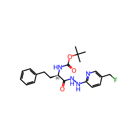 CC(C)(C)OC(=O)N[C@H](CCc1ccccc1)C(=O)NNc1ccc(CF)cn1